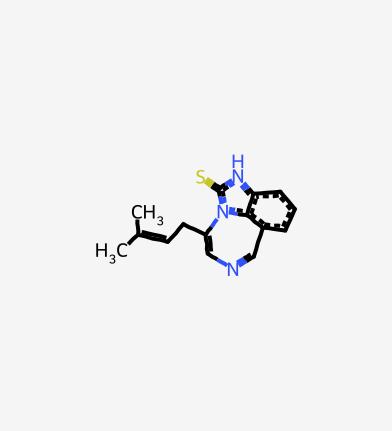 CC(C)=CCC1=CN=Cc2cccc3[nH]c(=S)n1c23